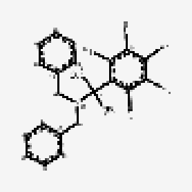 CC(C)(C)C(C(=O)O)(c1c(F)c(F)c(F)c(F)c1F)N(Cc1ccccc1)Cc1ccccc1